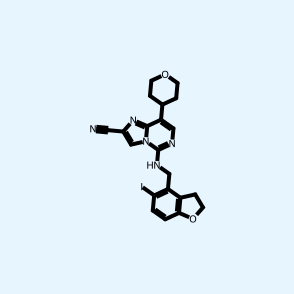 N#Cc1cn2c(NCc3c(I)ccc4c3CCO4)ncc(C3CCOCC3)c2n1